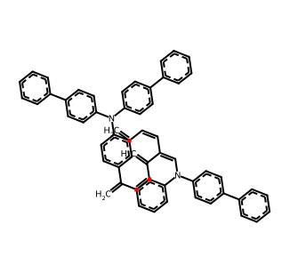 C=C/C=C\C(=C\N(c1ccccc1)c1ccc(-c2ccccc2)cc1)C(=C)/C=C\C(=C)c1ccc(N(c2ccc(-c3ccccc3)cc2)c2ccc(-c3ccccc3)cc2)cc1